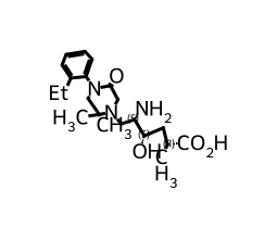 CCc1ccccc1N1CC(C)(C)N(C[C@H](N)[C@@H](O)C[C@@H](C)C(=O)O)CC1=O